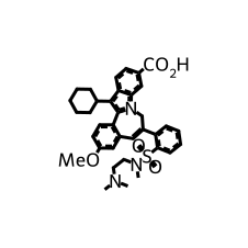 COc1ccc2c(c1)C=C(c1ccccc1S(=O)(=O)N(C)CCN(C)C)Cn1c-2c(C2CCCCC2)c2ccc(C(=O)O)cc21